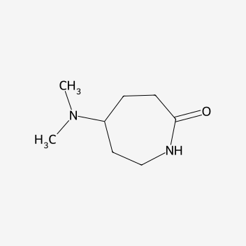 CN(C)C1CCNC(=O)CC1